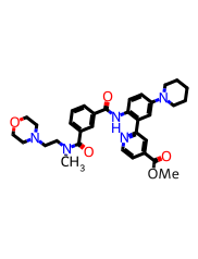 COC(=O)c1ccnc(-c2cc(N3CCCCC3)ccc2NC(=O)c2cccc(C(=O)N(C)CCN3CCOCC3)c2)c1